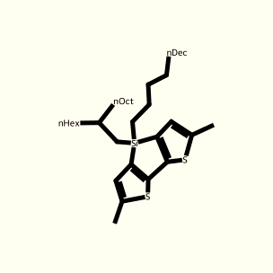 CCCCCCCCCCCCCC[Si]1(CC(CCCCCC)CCCCCCCC)c2cc(C)sc2-c2sc(C)cc21